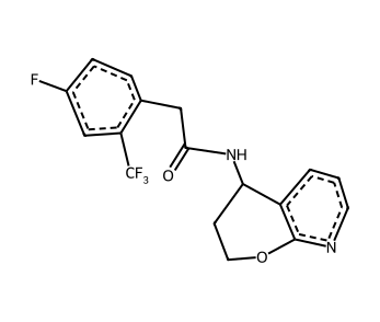 O=C(Cc1ccc(F)cc1C(F)(F)F)NC1CCOc2ncccc21